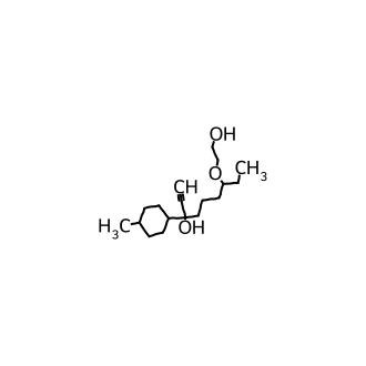 C#CC(O)(CCCC(CC)OCCO)C1CCC(C)CC1